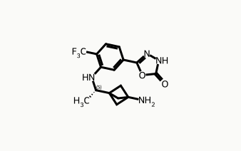 C[C@H](Nc1cc(-c2n[nH]c(=O)o2)ccc1C(F)(F)F)C12CC(N)(C1)C2